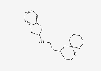 c1ccc2c(c1)CC(NCCC1CCOC3(CCCCC3)C1)C2